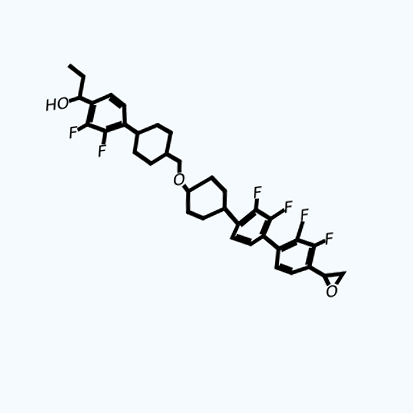 CCC(O)c1ccc(C2CCC(COC3CCC(c4ccc(-c5ccc(C6CO6)c(F)c5F)c(F)c4F)CC3)CC2)c(F)c1F